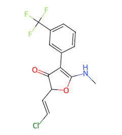 CNC1=C(c2cccc(C(F)(F)F)c2)C(=O)C(C=CCl)O1